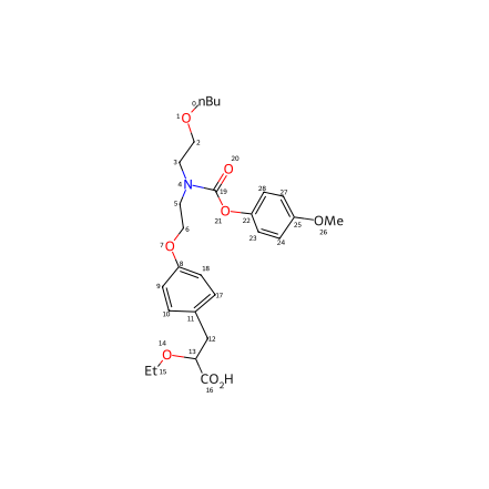 CCCCOCCN(CCOc1ccc(CC(OCC)C(=O)O)cc1)C(=O)Oc1ccc(OC)cc1